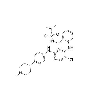 CN1CCC(c2ccc(Nc3ncc(Cl)c(Nc4ccccc4CNS(=O)(=O)N(C)C)n3)cc2)CC1